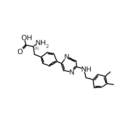 Cc1ccc(CNc2cnc(-c3ccc(C[C@H](N)C(=O)O)cc3)cn2)cc1C